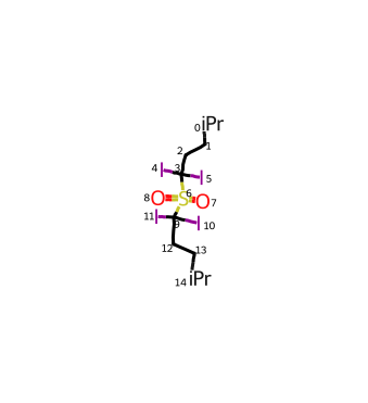 CC(C)CCC(I)(I)S(=O)(=O)C(I)(I)CCC(C)C